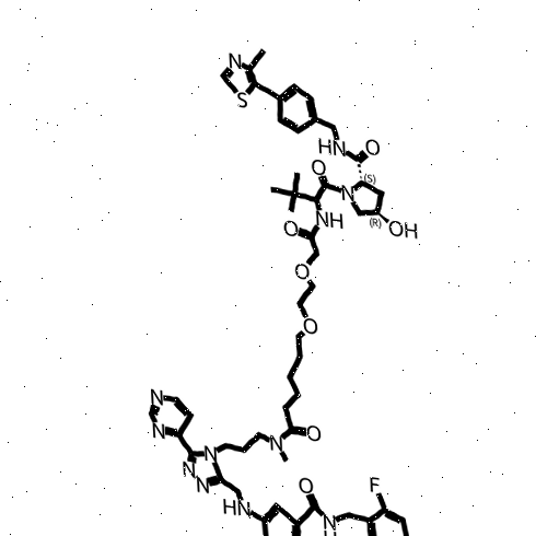 Cc1ncsc1-c1ccc(CNC(=O)[C@@H]2C[C@@H](O)CN2C(=O)C(NC(=O)COCCOCCCCCC(=O)N(C)CCCn2c(CNc3cccc(C(=O)NCc4c(F)cccc4F)c3)nnc2-c2ccncn2)C(C)(C)C)cc1